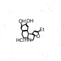 CCc1cc2c(o1)CNC1CCc3cc(O)c(O)cc3C21.Cl